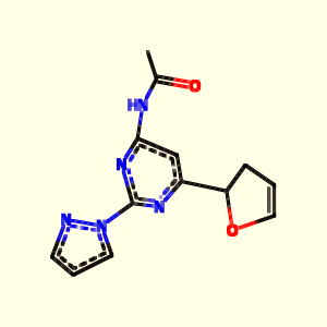 CC(=O)Nc1cc(C2CC=CO2)nc(-n2cccn2)n1